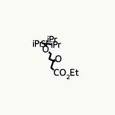 CCOC(=O)CC(=O)CCO[Si](C(C)C)(C(C)C)C(C)C